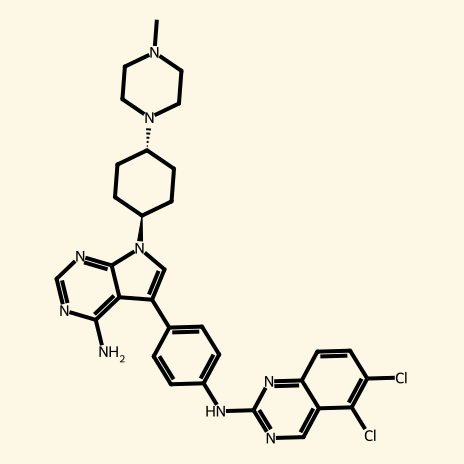 CN1CCN([C@H]2CC[C@H](n3cc(-c4ccc(Nc5ncc6c(Cl)c(Cl)ccc6n5)cc4)c4c(N)ncnc43)CC2)CC1